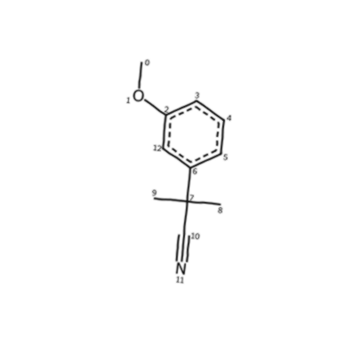 COc1cccc(C(C)(C)C#N)c1